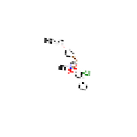 CCCN(C[C@@H](C)Sc1ccc(OCC(=O)O)c(C)c1)S(=O)(=O)c1ccc(CC2CCCCC2)c(Cl)c1